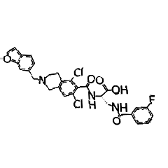 O=C(NC[C@H](NC(=O)c1c(Cl)cc2c(c1Cl)CCN(Cc1ccc3ccoc3c1)C2)C(=O)O)c1cccc(F)c1